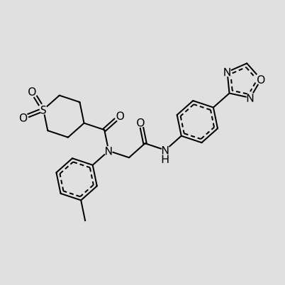 Cc1cccc(N(CC(=O)Nc2ccc(-c3ncon3)cc2)C(=O)C2CCS(=O)(=O)CC2)c1